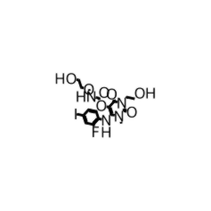 Cn1c(Nc2ccc(I)cc2F)c(OC(=O)NOCCO)c(=O)n(CCO)c1=O